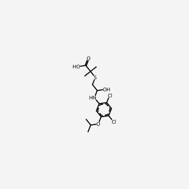 CC(C)Oc1cc(NC(O)CSC(C)(C)C(=O)O)c(Cl)cc1Cl